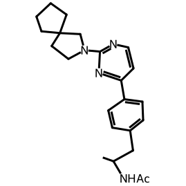 CC(=O)NC(C)Cc1ccc(-c2ccnc(N3CCC4(CCCC4)C3)n2)cc1